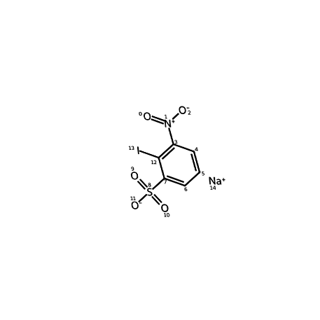 O=[N+]([O-])c1cccc(S(=O)(=O)[O-])c1I.[Na+]